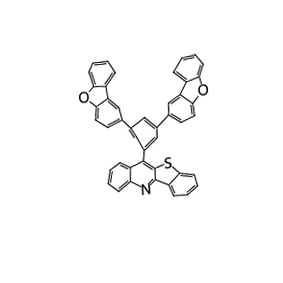 c1ccc2c(-c3cc(-c4ccc5oc6ccccc6c5c4)cc(-c4ccc5oc6ccccc6c5c4)c3)c3sc4ccccc4c3nc2c1